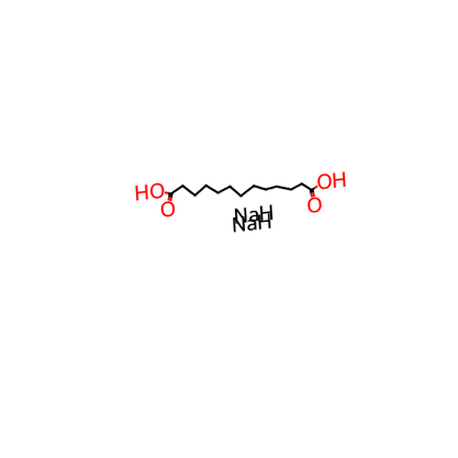 O=C(O)CCCCCCCCCCCC(=O)O.[NaH].[NaH]